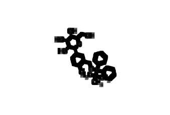 CC(C)(C)[Si](OCc1cc([C@@H]2OC(CO)[C@@H](O)[C@H](O)[C@@H]2O)ccc1Cl)(c1ccccc1)c1ccccc1